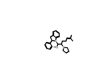 CC(C)=CCCC(C(O)N1c2ccccc2CC1c1ccccc1)N1CCCC1